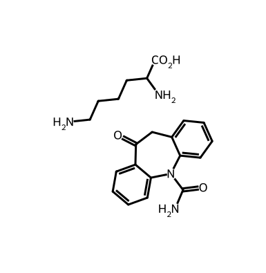 NC(=O)N1c2ccccc2CC(=O)c2ccccc21.NCCCCC(N)C(=O)O